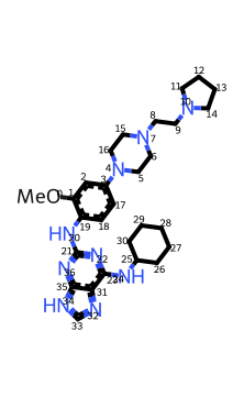 COc1cc(N2CCN(CCN3CCCC3)CC2)ccc1Nc1nc(NC2CCCCC2)c2nc[nH]c2n1